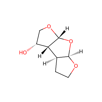 O[C@@H]1CO[C@@H]2O[C@H]3OCC[C@H]3[C@@H]21